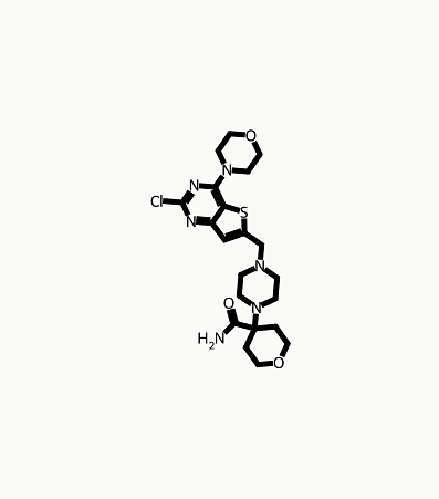 NC(=O)C1(N2CCN(Cc3cc4nc(Cl)nc(N5CCOCC5)c4s3)CC2)CCOCC1